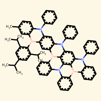 Cc1ccc2c(c1)B(c1c(C(C)C)cc(C(C)C)cc1C(C)C)c1cc3c(cc1N2c1ccccc1)N(c1ccccc1)c1cc2c4c5c1B3c1ccccc1N5c1ccccc1B4c1ccccc1N2c1ccccc1